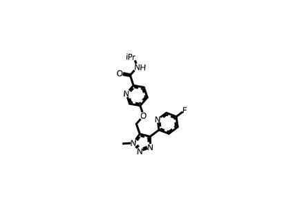 CC(C)NC(=O)c1ccc(OCc2c(-c3ccc(F)cn3)nnn2C)cn1